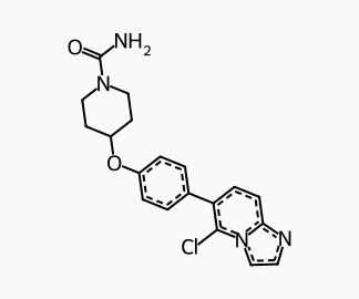 NC(=O)N1CCC(Oc2ccc(-c3ccc4nccn4c3Cl)cc2)CC1